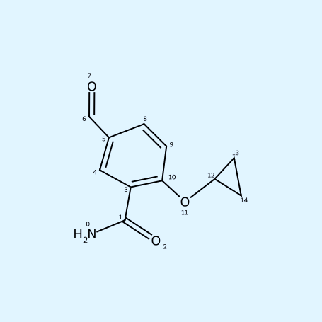 NC(=O)c1cc(C=O)ccc1OC1CC1